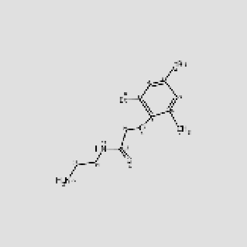 CCc1cc(C(C)(C)C)cc(C)c1OCC(=O)NCCN